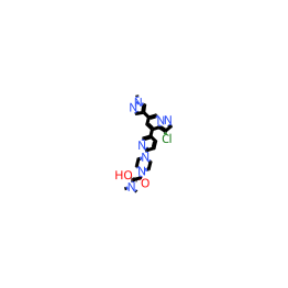 CN(C)[C@@H](O)C(=O)N1CCN(c2ccc(-c3cc(-c4cnn(C)c4)cn4ncc(Cl)c34)cn2)CC1